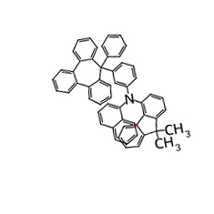 CC1(C)c2ccccc2-c2c(N(c3cccc(C4(c5ccccc5)c5ccccc5-c5ccccc5-c5ccccc54)c3)c3cccc4ccccc34)cccc21